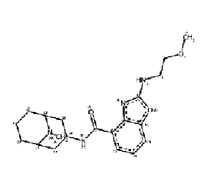 COCCNc1nc2c(C(=O)NC3CC4CCCC(C3)N4C)cccc2o1